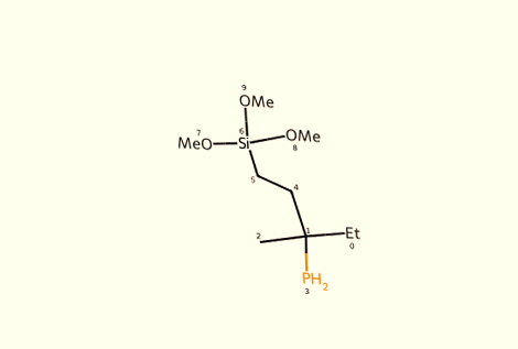 CCC(C)(P)CC[Si](OC)(OC)OC